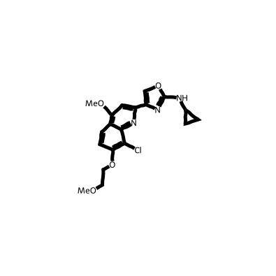 COCCOc1ccc2c(OC)cc(-c3coc(NC4CC4)n3)nc2c1Cl